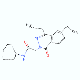 CCc1ccc2c(=O)n(CC(=O)NC3CCCCC3)nc(CC)c2c1